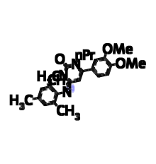 CCCn1c(-c2ccc(OC)c(OC)c2)c/c(=N/c2c(C)cc(C)cc2C)n(C)c1=O